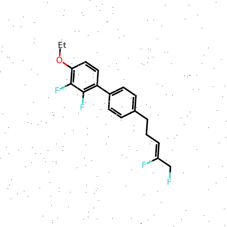 CCOc1ccc(-c2ccc(CCC=C(F)CF)cc2)c(F)c1F